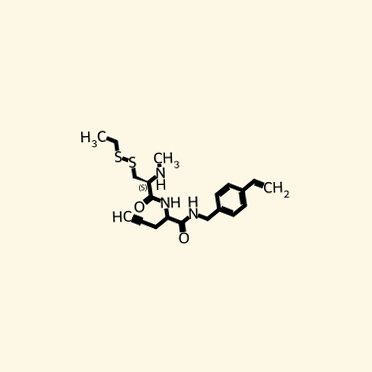 C#CCC(NC(=O)[C@@H](CSSCC)NC)C(=O)NCc1ccc(C=C)cc1